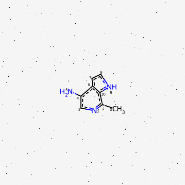 Cc1ncc(N)c2cc[nH]c12